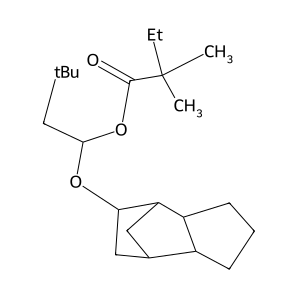 CCC(C)(C)C(=O)OC(CC(C)(C)C)OC1CC2CC1C1CCCC21